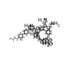 CCCCc1ccc(-c2ccc(C(=O)N[C@@H](CN)C(=O)N(C)[C@@H]3C(=O)N[C@@H](C)C(=O)N[C@H](C(=O)NC(C)=O)Cc4ccc(OCCN)c(c4)-c4cc3ccc4OCCN)cc2)cc1